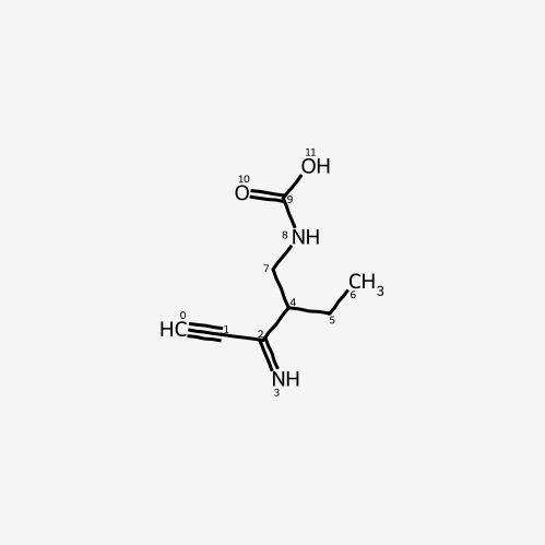 C#CC(=N)C(CC)CNC(=O)O